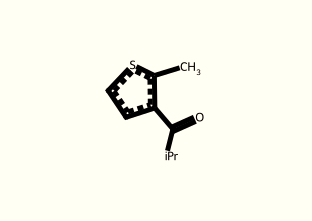 Cc1sccc1C(=O)C(C)C